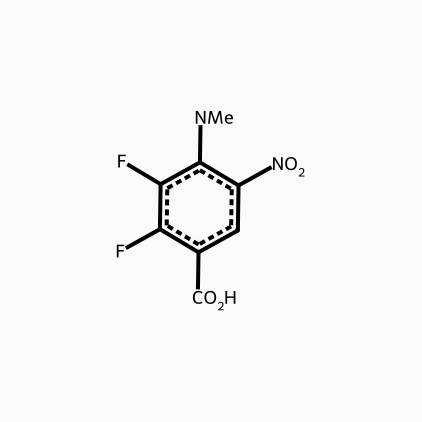 CNc1c([N+](=O)[O-])cc(C(=O)O)c(F)c1F